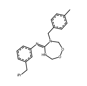 Cc1ccc(CN2COOCN/C2=N\c2cccc(CC(C)C)c2)cc1